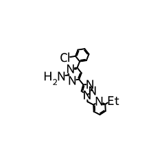 CCc1cccc(Cn2cc(-c3cc(-c4ccccc4Cl)nc(N)n3)nn2)n1